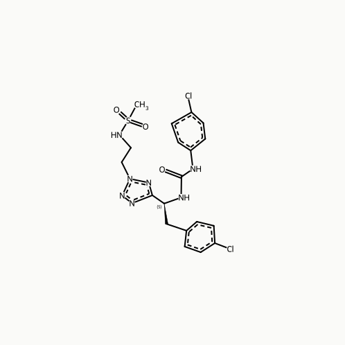 CS(=O)(=O)NCCn1nnc([C@H](Cc2ccc(Cl)cc2)NC(=O)Nc2ccc(Cl)cc2)n1